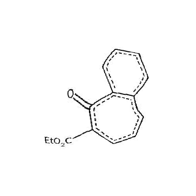 CCOC(=O)c1cccc2ccccc2c1=O